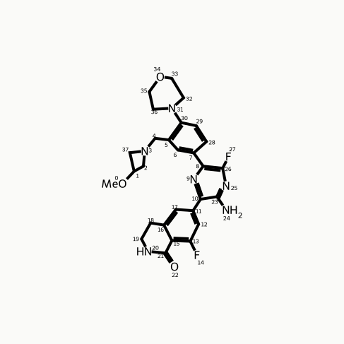 COC1CN(Cc2cc(-c3nc(-c4cc(F)c5c(c4)CCNC5=O)c(N)nc3F)ccc2N2CCOCC2)C1